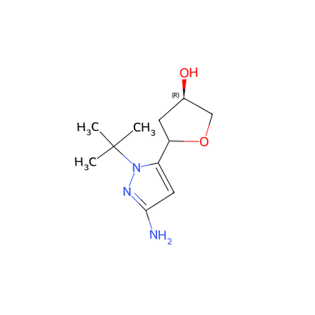 CC(C)(C)n1nc(N)cc1C1C[C@@H](O)CO1